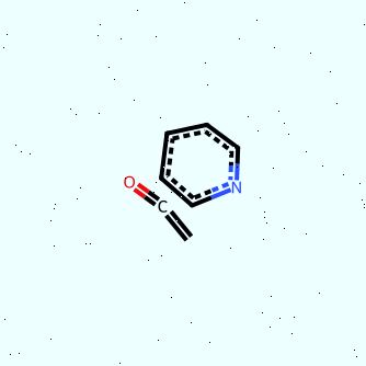 C=C=O.c1ccncc1